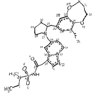 CCN(C)S(=O)(=O)NC(=O)c1cnn2ccc(N3CCCC3c3cc(F)c4c(c3)OCCCO4)cc12